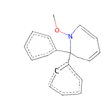 CON1C=CC=CC1(c1ccccc1)c1ccccc1